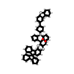 C1=C(c2ccccc2N(c2ccccc2)c2ccc(-c3ccc4oc5ccccc5c4c3)cc2)C2=C(CC1)Oc1ccc3c(c1O2)-c1ccccc1C31c2ccccc2-c2ccccc21